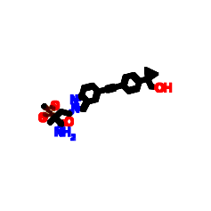 CC(CCn1cc2cc(C#Cc3ccc(C4(CO)CC4)cc3)ccc2n1)(C(N)=O)S(C)(=O)=O